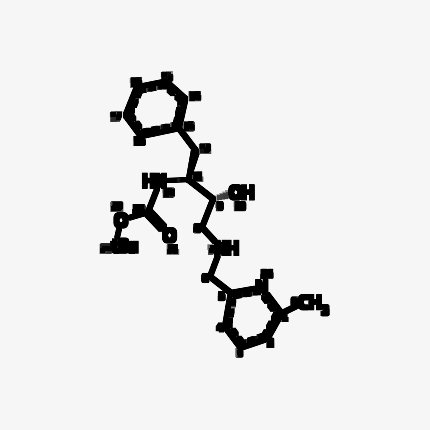 Cc1cccc(CNC[C@@H](O)[C@H](Cc2ccccc2)NC(=O)OC(C)(C)C)n1